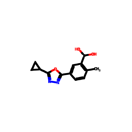 Cc1ccc(-c2nnc(C3CC3)o2)cc1B(O)O